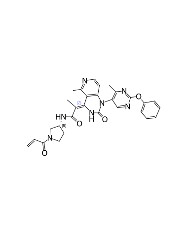 C=CC(=O)N1CC[C@@H](NC(=O)/C(C)=C2\NC(=O)N(c3cnc(Oc4ccccc4)nc3C)c3ccnc(C)c32)C1